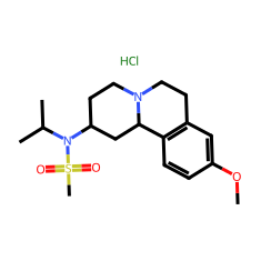 COc1ccc2c(c1)CCN1CCC(N(C(C)C)S(C)(=O)=O)CC21.Cl